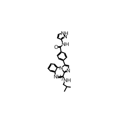 C=C(NCC(C)C)c1ncc(-c2ccc(C(=O)Nc3cc[nH]n3)cc2)n1-c1ccccc1N